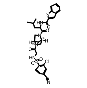 CC(C)CC(NC(=O)c1cc2ccccc2s1)C(=O)N1C[C@@H]2C[C@H]1CN2C(=O)CNS(=O)(=O)c1ccc(C#N)cc1Cl